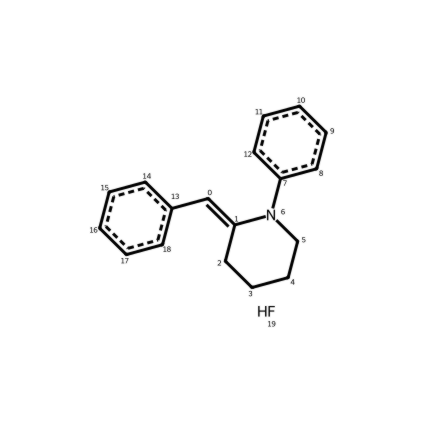 C(=C1CCCCN1c1ccccc1)c1ccccc1.F